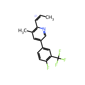 C/C=C\c1ncc(-c2ccc(F)c(C(F)(F)F)c2)cc1C